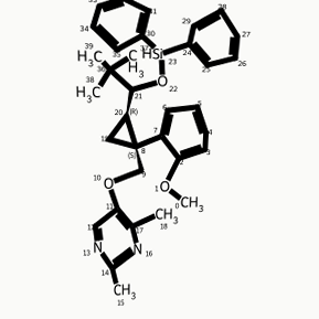 COc1ccccc1[C@]1(COc2cnc(C)nc2C)C[C@H]1C(O[SiH](c1ccccc1)c1ccccc1)C(C)(C)C